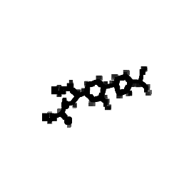 C/N=C(\COC(N)=O)c1ccc(-c2ccc(C(F)F)cc2)c(F)c1